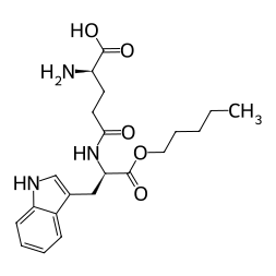 CCCCCOC(=O)[C@@H](Cc1c[nH]c2ccccc12)NC(=O)CC[C@@H](N)C(=O)O